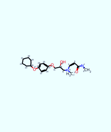 C=NC(=O)/C=C\N(C)C[C@H](O)COc1ccc(OC2CCCCC2)cc1